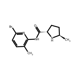 Cc1ccc(Br)nc1NC(=O)[C@@H]1CC[C@@H](C)N1